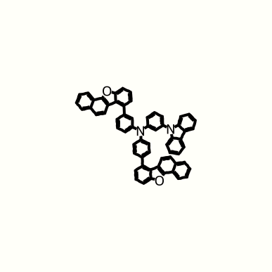 c1cc(-c2cccc3oc4c5ccccc5ccc4c23)cc(N(c2ccc(-c3cccc4oc5c6ccccc6ccc5c34)cc2)c2cccc(-n3c4ccccc4c4ccccc43)c2)c1